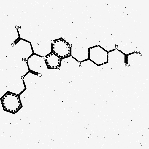 N=C(N)NC1CCC(Nc2ncnc3c2ncn3C(CC(=O)O)NC(=O)OCc2ccccc2)CC1